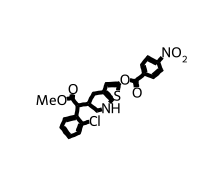 COC(=O)C(c1ccccc1Cl)C1CNc2sc(OC(=O)c3ccc([N+](=O)[O-])cc3)cc2C1